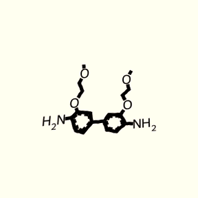 COCCOc1cc(-c2ccc(N)c(OCCOC)c2)ccc1N